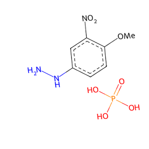 COc1ccc(NN)cc1[N+](=O)[O-].O=P(O)(O)O